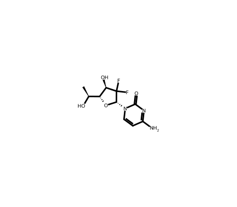 C[C@H](O)[C@H]1O[C@@H](n2ccc(N)nc2=O)C(F)(F)[C@@H]1O